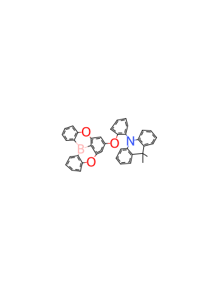 CC1(C)c2ccccc2N(c2ccccc2Oc2cc3c4c(c2)Oc2ccccc2B4c2ccccc2O3)c2ccccc21